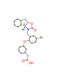 O=C(O)Cc1cccc(Oc2ccc(Br)cc2CN2C(=O)OC3Cc4ccccc4[C@H]32)c1